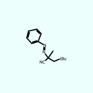 CC(C)(C)CC(C)(C#N)N=Nc1ccccc1